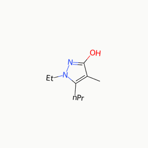 CCCc1c(C)c(O)nn1CC